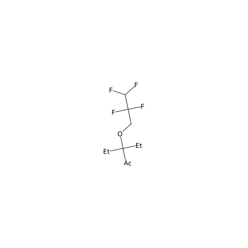 CCC(CC)(OCC(F)(F)C(F)F)C(C)=O